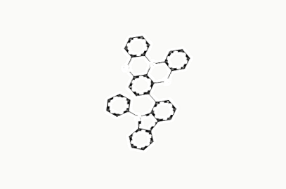 c1ccc(-n2c3ccccc3c3cccc(-c4ccc5c6c4Oc4ccccc4B6c4ccccc4O5)c32)cc1